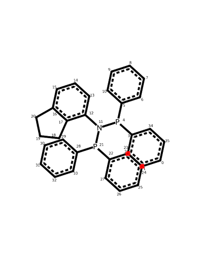 c1ccc(P(c2ccccc2)N(c2cccc3c2CCC3)P(c2ccccc2)c2ccccc2)cc1